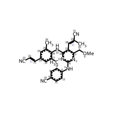 COCc1nc(Nc2ccc(C#N)cc2)nc(Nc2c(C)cc(/C=C/C#N)cc2C)c1/C=C(\C)C#N